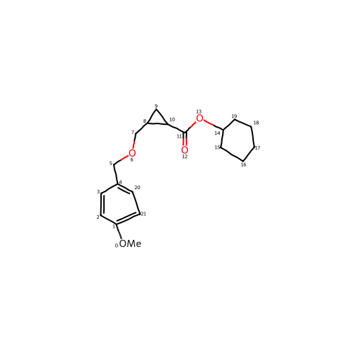 COc1ccc(COCC2CC2C(=O)OC2CCCCC2)cc1